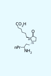 CCCC(N)CC[C@H]1CCC(=O)[C@@H]1CCCCCC(=O)O